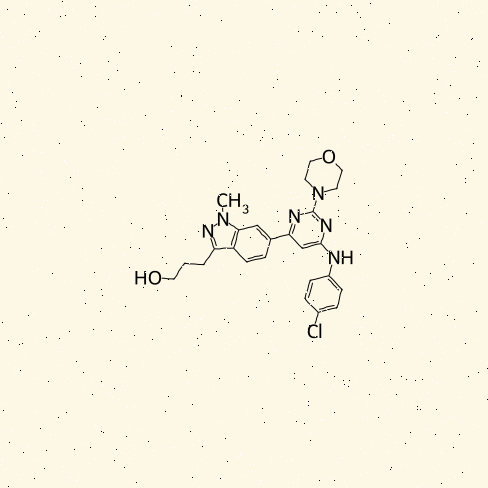 Cn1nc(CCCO)c2ccc(-c3cc(Nc4ccc(Cl)cc4)nc(N4CCOCC4)n3)cc21